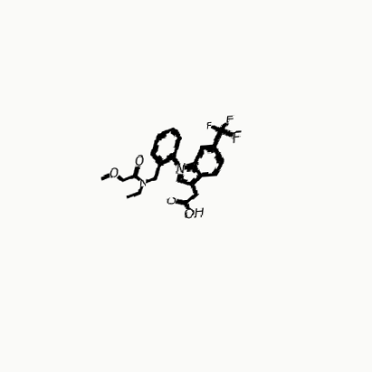 CCN(Cc1ccccc1-n1cc(CC(=O)O)c2ccc(C(F)(F)F)cc21)C(=O)COC